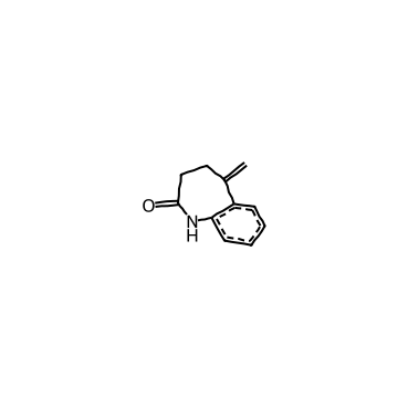 C=C1CCC(=O)Nc2ccccc21